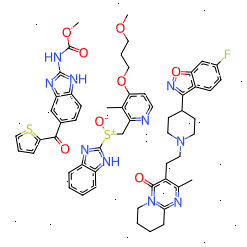 COC(=O)Nc1nc2cc(C(=O)c3cccs3)ccc2[nH]1.COCCCOc1ccnc(C[S+]([O-])c2nc3ccccc3[nH]2)c1C.Cc1nc2n(c(=O)c1CCN1CCC(c3noc4cc(F)ccc34)CC1)CCCC2